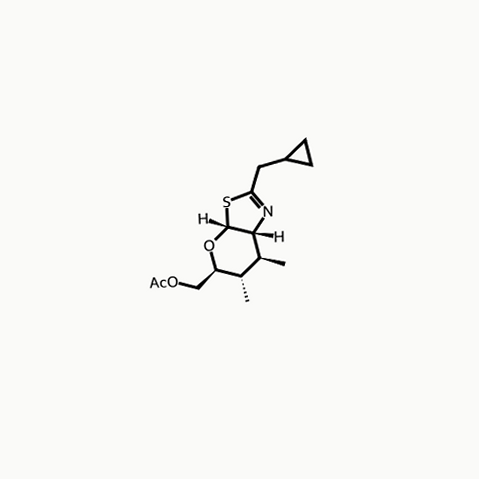 CC(=O)OC[C@H]1O[C@@H]2SC(CC3CC3)=N[C@@H]2[C@@H](C)[C@@H]1C